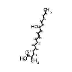 CCCCCCC(O)CC=CCCCCCCC(C)C(=O)O